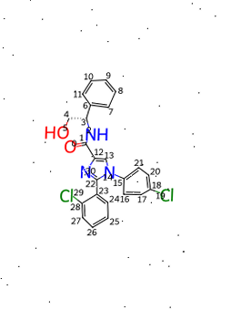 O=C(N[C@H](CO)c1ccccc1)c1cn(-c2ccc(Cl)cc2)c(-c2ccccc2Cl)n1